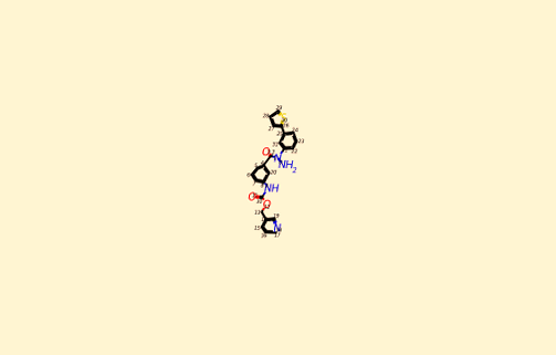 NN(C(=O)c1cccc(NC(=O)OCc2cccnc2)c1)c1cccc(-c2cccs2)c1